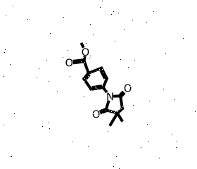 COC(=O)c1ccc(N2C(=O)CC(C)(C)C2=O)cc1